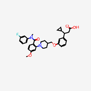 COc1ccc(C(=O)N(C)c2cccc(F)c2)c(N2CCC(COc3cccc(C(CC(=O)O)C4CC4)c3)CC2)c1